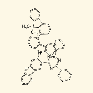 CC1(C)c2ccccc2-c2cccc(-c3cccc4c3c3ccccc3n4-c3cc4sc5ccccc5c4cc3-c3nc(-c4ccccc4)nc(-c4ccccc4)n3)c21